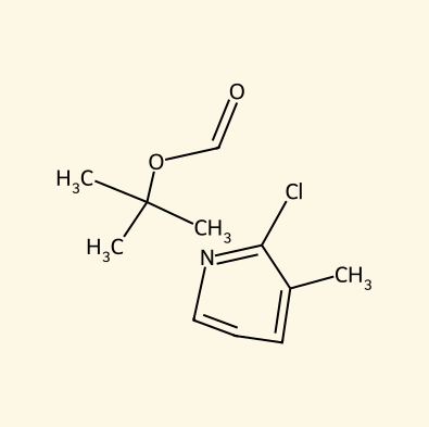 CC(C)(C)OC=O.Cc1cccnc1Cl